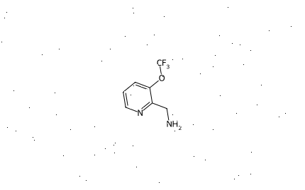 NCc1ncccc1OC(F)(F)F